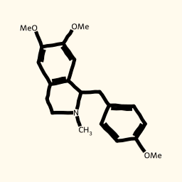 COc1ccc(CC2c3cc(OC)c(OC)cc3CCN2C)cc1